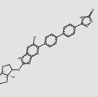 O=c1[nH]c(-c2ccc(-c3ccc(-c4nc5nc(OC6CO[C@@H]7CCO[C@H]67)[nH]c5cc4Cl)cc3)cc2)no1